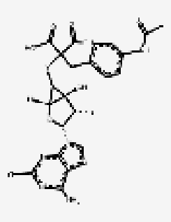 CC(=O)Nc1ccc(CC(OC2[C@H]3O[C@@H](n4cnc5c(N)nc(Cl)nc54)[C@@H](F)[C@@]23O)(C(=O)O)C(=O)O)cc1